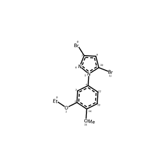 CCOc1cc(-n2nc(Br)cc2Br)ccc1OC